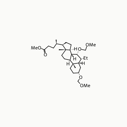 CC[C@H]1[C@@H](OCOC)[C@@H]2[C@H](CC[C@]3(C)[C@@H]([C@H](C)CCC(=O)OC)CC[C@@H]23)[C@@]2(C)CC[C@@H](OCOC)C[C@@H]12